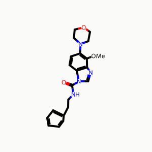 COc1c(N2CCOCC2)ccc2c1ncn2C(=O)NCCc1ccccc1